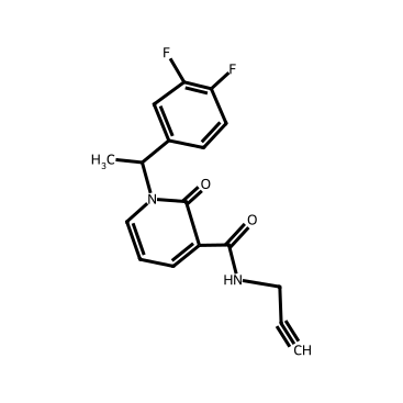 C#CCNC(=O)c1cccn(C(C)c2ccc(F)c(F)c2)c1=O